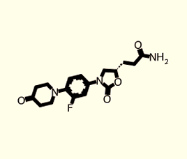 NC(=O)CC[C@H]1CN(c2ccc(N3CCC(=O)CC3)c(F)c2)C(=O)O1